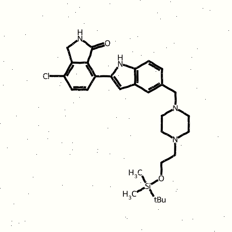 CC(C)(C)[Si](C)(C)OCCN1CCN(Cc2ccc3[nH]c(-c4ccc(Cl)c5c4C(=O)NC5)cc3c2)CC1